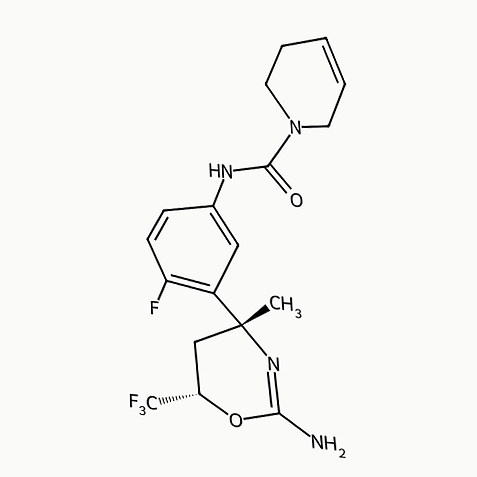 C[C@]1(c2cc(NC(=O)N3CC=CCC3)ccc2F)C[C@@H](C(F)(F)F)OC(N)=N1